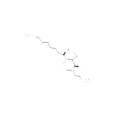 CNCCN(C)C(=O)C(CC(C)=O)N(C)C(=O)CCCCCCSC